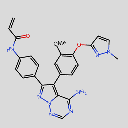 C=CC(=O)Nc1ccc(-c2nn3ncnc(N)c3c2-c2ccc(Oc3ccn(C)n3)c(OC)c2)cc1